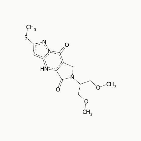 COCC(COC)N1Cc2c([nH]c3cc(SC)nn3c2=O)C1=O